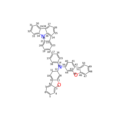 C1=c2oc3ccccc3c2=CCC1N(c1ccc(-c2ccc3c(c2)c2cccc4c5ccccc5n3c42)cc1)c1ccc2c(c1)oc1ccccc12